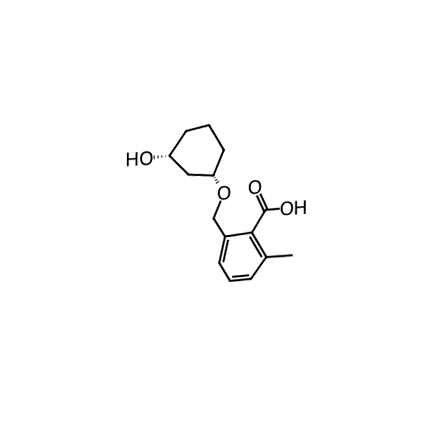 Cc1cccc(CO[C@H]2CCC[C@@H](O)C2)c1C(=O)O